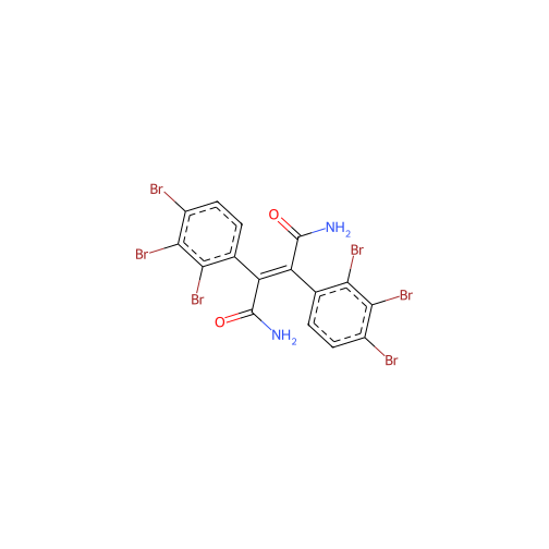 NC(=O)/C(=C(/C(N)=O)c1ccc(Br)c(Br)c1Br)c1ccc(Br)c(Br)c1Br